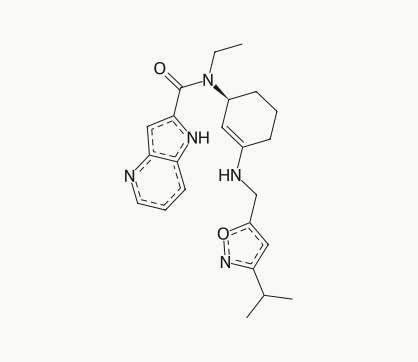 CCN(C(=O)c1cc2ncccc2[nH]1)[C@@H]1C=C(NCc2cc(C(C)C)no2)CCC1